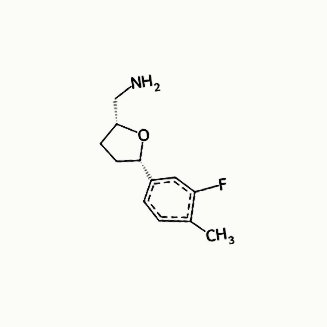 Cc1ccc([C@@H]2CC[C@H](CN)O2)cc1F